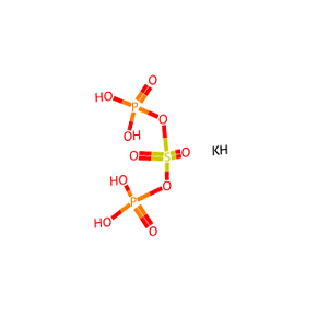 O=P(O)(O)OS(=O)(=O)OP(=O)(O)O.[KH]